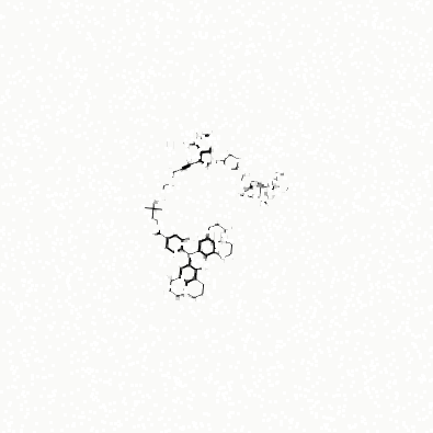 CC(C)(CNC(=O)c1ccc(C2=c3cc4c5c(c3Oc3c2cc2c6c3CCCN6CCC2)CCC[N+]=5CCC4)c(C(=O)O)c1)SSCOCC#Cc1cn([C@H]2CC[C@@H](COP(=O)(O)OP(=O)(O)OP(=O)(O)O)O2)c2ncnc(N)c12